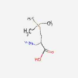 CS(C)(C)CC(N)C(=O)O